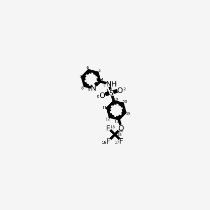 O=S(=O)(Nc1ccccn1)c1ccc(OC(F)(F)F)cc1